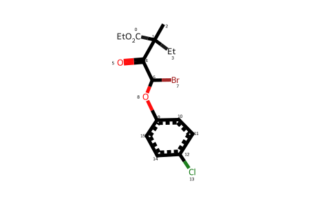 CCOC(=O)C(C)(CC)C(=O)C(Br)Oc1ccc(Cl)cc1